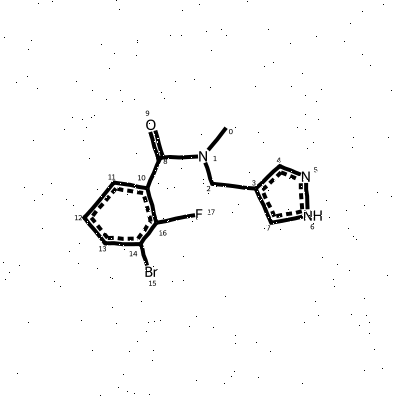 CN(Cc1cn[nH]c1)C(=O)c1cccc(Br)c1F